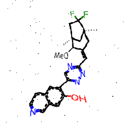 CO[C@@H]1/C(=C\c2ncc(-c3cc4ccncc4cc3O)nn2)C[C@@]2(C)C[C@]1(C)CC2(F)F